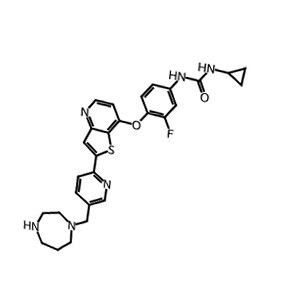 O=C(Nc1ccc(Oc2ccnc3cc(-c4ccc(CN5CCCNCC5)cn4)sc23)c(F)c1)NC1CC1